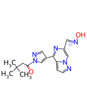 CC(C)(C)CC(=O)n1cc(-c2nc(/C=N/O)cn3nccc23)cn1